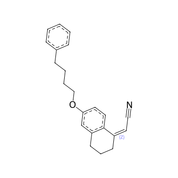 N#C/C=C1/CCCc2cc(OCCCCc3ccccc3)ccc21